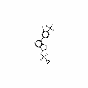 O=S(=O)(NC1CCc2c(-c3ccc(C(F)(F)F)c(F)c3)cncc21)C1CC1